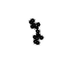 c1ccc(-c2cc(-c3ccc(-c4cc(-c5ccccc5)n(-c5ccc(-c6cccc7ccccc67)c6ccccc56)n4)cc3)nn2-c2ccc(-c3cccc4ccccc34)c3ccccc23)cc1